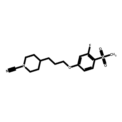 CS(=O)(=O)c1ccc(OCCCC2CCN(C#N)CC2)cc1F